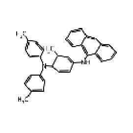 Cc1ccc(N(c2ccc(C)cc2)C2C=CC(Nc3c4ccccc4cc4ccccc34)=CC2C)cc1